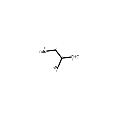 CCCCCC(C=O)CCC